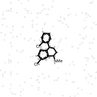 CNC1CCC(c2ccccc2Cl)c2ccc(Cl)cc21